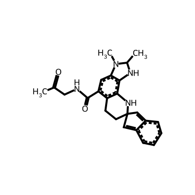 CC(=O)CNC(=O)c1cc2c(c3c1CCC1(C=c4ccccc4=C1)N3)NC(C)N2C